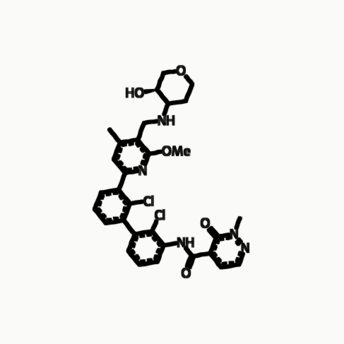 COc1nc(-c2cccc(-c3cccc(NC(=O)c4ccnn(C)c4=O)c3Cl)c2Cl)cc(C)c1CNC1CCOC[C@@H]1O